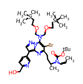 C/C=C\N(C(=O)OC(C)(C)C)[C@H](C)CCc1nc2c(-c3ccc(CO)nc3)cnn2c(N(COCC[Si](C)(C)C)COCC[Si](C)(C)C)c1Br